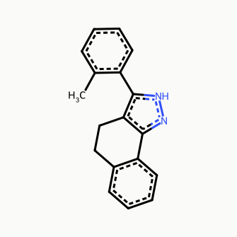 Cc1ccccc1-c1[nH]nc2c1CCc1ccccc1-2